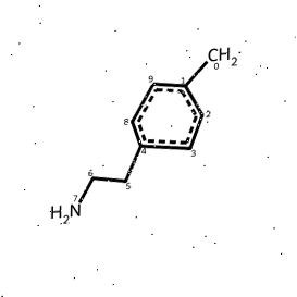 [CH2]c1ccc(CCN)cc1